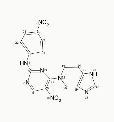 O=[N+]([O-])c1ccc(Nc2ncc([N+](=O)[O-])c(N3CCc4[nH]cnc4C3)n2)cc1